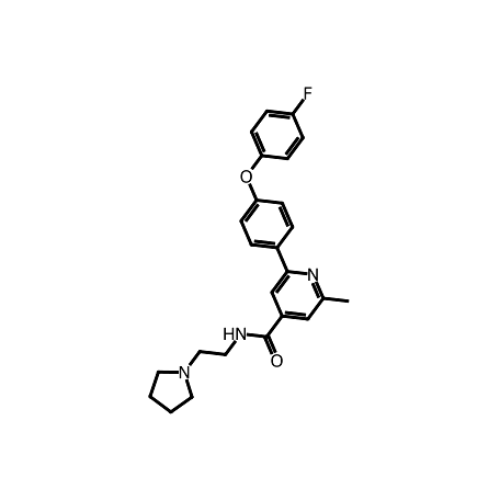 Cc1cc(C(=O)NCCN2CCCC2)cc(-c2ccc(Oc3ccc(F)cc3)cc2)n1